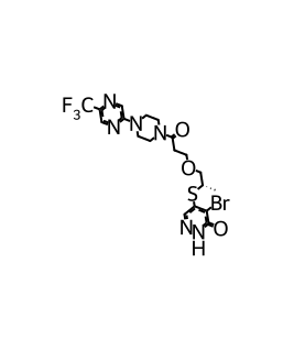 C[C@@H](COCCC(=O)N1CCN(c2cnc(C(F)(F)F)cn2)CC1)Sc1cn[nH]c(=O)c1Br